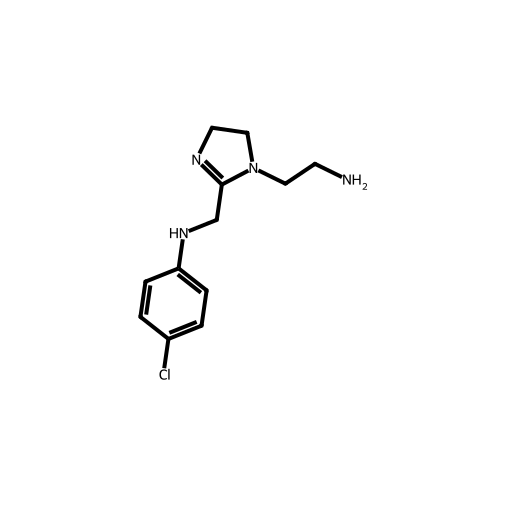 NCCN1CCN=C1CNc1ccc(Cl)cc1